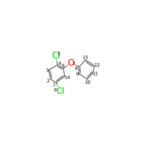 Clc1ccc(Cl)c(Oc2cc[c]cc2)c1